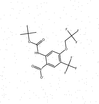 CC(C)(C)OC(=O)Nc1cc(OCC(F)(F)F)c(C(F)(F)F)cc1[N+](=O)[O-]